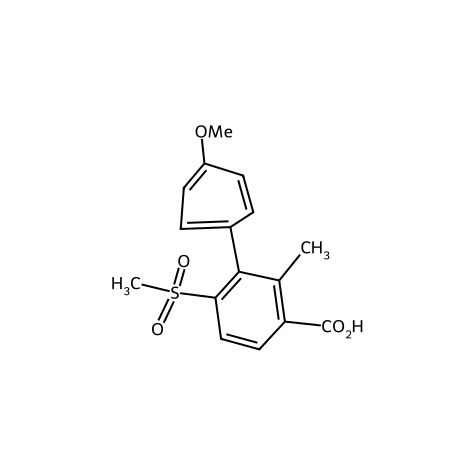 COc1ccc(-c2c(S(C)(=O)=O)ccc(C(=O)O)c2C)cc1